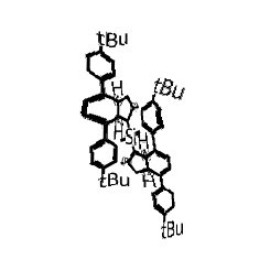 C[C@@H]1C[C@@H]2C(C3=CC=C(C(C)(C)C)CC3)=CC=C(c3ccc(C(C)(C)C)cc3)[C@@H]2C1[Si](C)(C)C1[C@H](C)C[C@@H]2C(C3=CC=C(C(C)(C)C)CC3)=CC=C(c3ccc(C(C)(C)C)cc3)[C@H]12